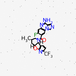 C[C@@H]1C[C@@H]2Oc3nc(C(F)(F)F)ccc3[C@@H]2N(C(=O)c2cc3c(cc2F)nc(N)c2cncn23)C1